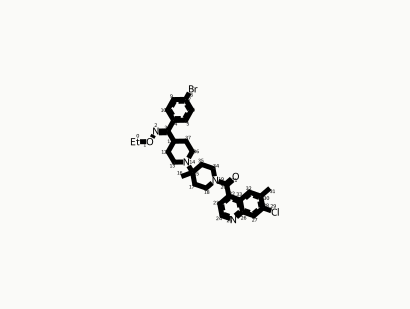 CCO/N=C(/c1ccc(Br)cc1)C1CCN(C2(C)CCN(C(=O)c3ccnc4cc(Cl)c(C)cc34)CC2)CC1